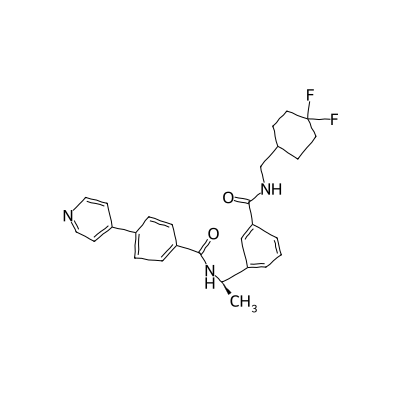 C[C@@H](NC(=O)c1ccc(-c2ccncc2)cc1)c1cccc(C(=O)NCC2CCC(F)(F)CC2)c1